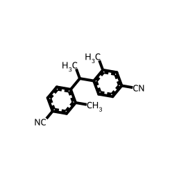 Cc1cc(C#N)ccc1C(C)c1ccc(C#N)cc1C